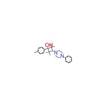 Cc1ccc(C2(O)C(C)(C)C(N3CCN(c4ccccc4)CC3)C2(C)C)cc1